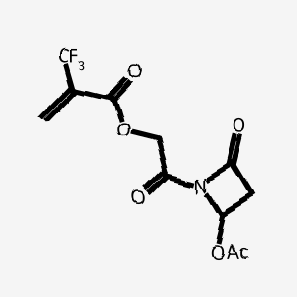 C=C(C(=O)OCC(=O)N1C(=O)CC1OC(C)=O)C(F)(F)F